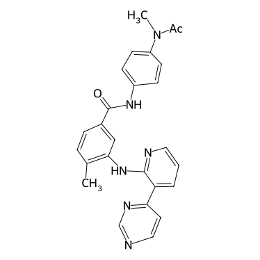 CC(=O)N(C)c1ccc(NC(=O)c2ccc(C)c(Nc3ncccc3-c3ccncn3)c2)cc1